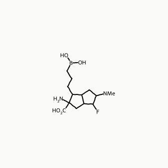 CNC1CC2C(CC(N)(C(=O)O)C2CCCB(O)O)C1F